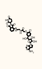 Nc1ncnc2c1ccn2[C@@H]1O[C@H]([C@H](O)c2ccc(Cl)c(OCC(=O)NCCNc3cccc4c3C(=O)N(C3CCC(=O)NC3=O)C4=O)c2)[C@@H](O)[C@H]1O